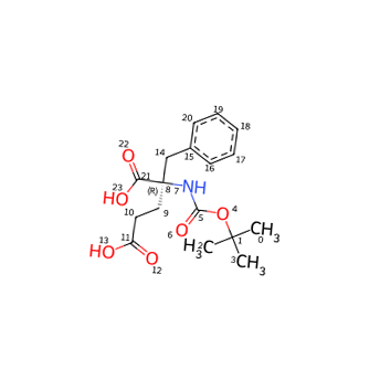 CC(C)(C)OC(=O)N[C@](CCC(=O)O)(Cc1ccccc1)C(=O)O